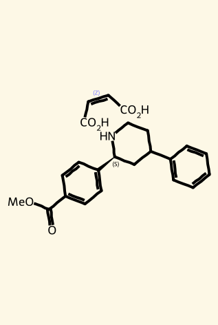 COC(=O)c1ccc([C@@H]2CC(c3ccccc3)CCN2)cc1.O=C(O)/C=C\C(=O)O